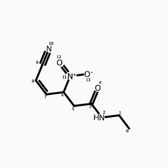 CCNC(=O)CC(/C=C\C#N)[N+](=O)[O-]